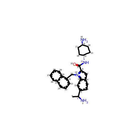 CC(N)c1ccc2cc(C(=O)N[C@H]3CC[C@H](N)CC3)n(Cc3cccc4ccccc34)c2c1